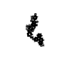 [2H]C1([2H])N(CC2CCN(CCOc3ccc([C@@H]4c5ccc(O)cc5CC[C@@H]4c4ccccc4)cc3)CC2)C([2H])([2H])C([2H])([2H])N(c2cc3c(c(F)c2F)C(=O)N(C2CCC(=O)NC2=O)C3=O)C1([2H])[2H]